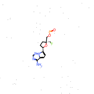 Nc1ncnn2c([C@H]3CC[C@@](CF)(COP=O)O3)ccc12